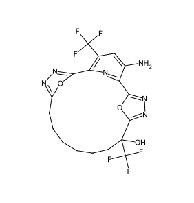 Nc1cc(C(F)(F)F)c2nc1-c1nnc(o1)C(O)(C(F)(F)F)CCCCCCc1nnc-2o1